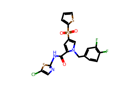 O=C(Nc1ncc(Cl)s1)c1cc(S(=O)(=O)c2cccs2)cn1Cc1ccc(F)c(F)c1